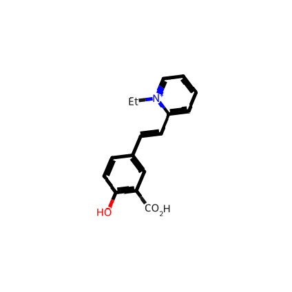 CC[n+]1ccccc1C=Cc1ccc(O)c(C(=O)O)c1